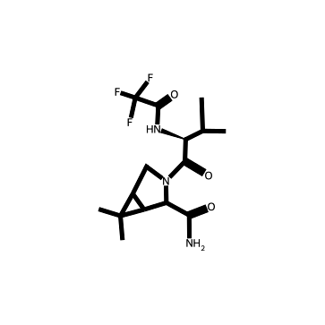 CC(C)[C@H](NC(=O)C(F)(F)F)C(=O)N1CC2C(C1C(N)=O)C2(C)C